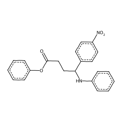 O=C(CCC(Nc1ccccc1)c1ccc([N+](=O)[O-])cc1)Oc1ccccc1